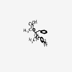 Cc1cc(SC(CCCc2ccccc2)c2sc(-c3ccc(C(F)(F)F)cc3)nc2C)ccc1OCC(=O)O